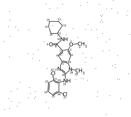 COc1cc2c(cc1C(=O)NC1CCCCC1)nc(Nc1c(Cl)cccc1Cl)n2C